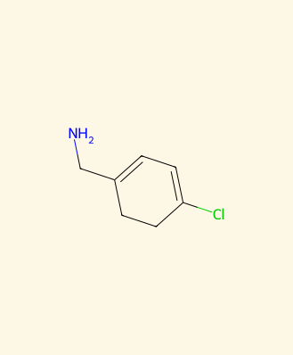 NCC1=CC=C(Cl)CC1